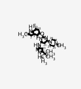 Cc1cc2c(F)c(Oc3nc(Nc4cc(C(C)(C)C)[nH]n4)cc(N4CCN(C)CC4)n3)cc(F)c2[nH]1